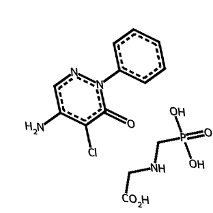 Nc1cnn(-c2ccccc2)c(=O)c1Cl.O=C(O)CNCP(=O)(O)O